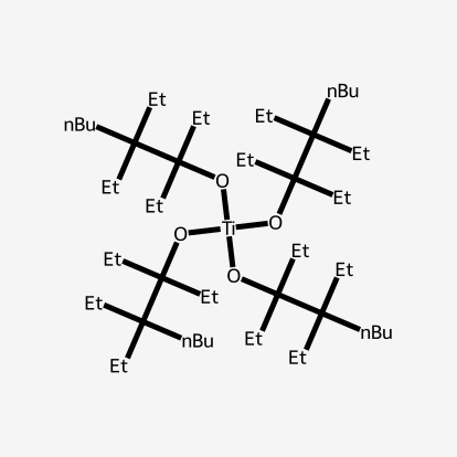 CCCCC(CC)(CC)C(CC)(CC)[O][Ti]([O]C(CC)(CC)C(CC)(CC)CCCC)([O]C(CC)(CC)C(CC)(CC)CCCC)[O]C(CC)(CC)C(CC)(CC)CCCC